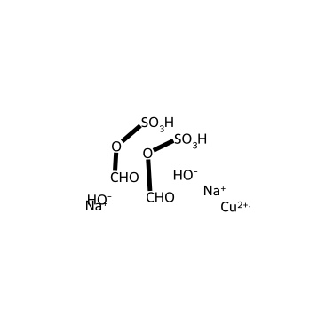 O=COS(=O)(=O)O.O=COS(=O)(=O)O.[Cu+2].[Na+].[Na+].[OH-].[OH-]